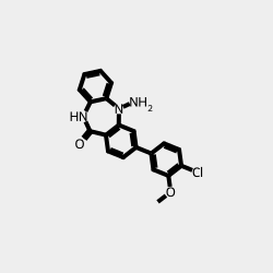 COc1cc(-c2ccc3c(c2)N(N)c2ccccc2NC3=O)ccc1Cl